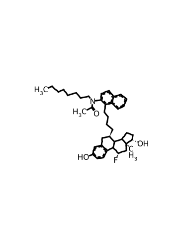 CCCCCCCCN(C(C)=O)c1ccc2ccccc2c1CCCC[C@@H]1Cc2cc(O)ccc2C2C1C1CC[C@H](O)[C@@]1(C)C[C@@H]2F